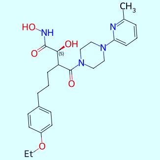 CCOc1ccc(CCCC(C(=O)N2CCN(c3cccc(C)n3)CC2)[C@H](O)C(=O)NO)cc1